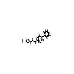 OCCCN1C=CC(c2cccnn2)C=N1